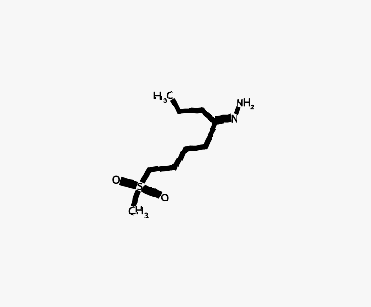 CCC/C(CCCCS(C)(=O)=O)=N\N